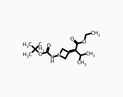 CCOC(=O)C(=C1CN(NC(=O)OC(C)(C)C)C1)C(C)C